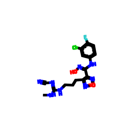 CNC(=NC#N)NCCCc1nonc1C(=NO)Nc1ccc(F)c(Cl)c1